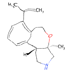 C=C(C)c1cccc2c1CO[C@@]1(C)CNC[C@H]21